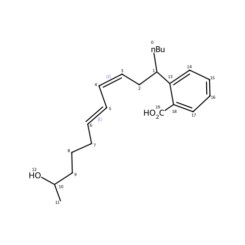 CCCCC(C/C=C\C=C\CCCC(C)O)c1ccccc1C(=O)O